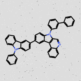 c1ccc(-c2cccc(-n3c4ccc(-c5ccc6c(c5)c5ccccc5n6-c5ccccc5)cc4c4c5ccccc5ncc43)c2)cc1